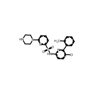 Cc1ccccc1-c1nc(NS(=O)(=O)c2cccc(N3CCNCC3)n2)ccc1Cl